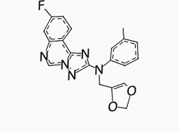 Cc1cccc(N(CC2=COCO2)c2nc3c4ccc(F)cc4ncn3n2)c1